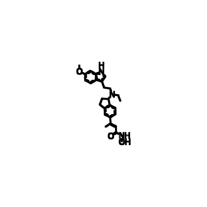 CCN(CCc1c[nH]c2cc(OC)ccc12)C1CCc2cc(C(C)=CC(=O)NO)ccc21